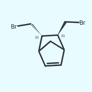 BrC[C@H]1C2C=CC(C2)[C@@H]1CBr